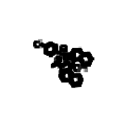 CC[C@H](C)[C@H](NS(=O)(=O)c1ccc(Cl)cc1)C(O)(c1cccc2ccccc12)c1cccc2ccccc12